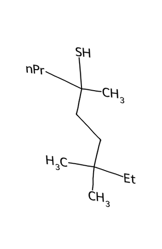 CCCC(C)(S)CCC(C)(C)CC